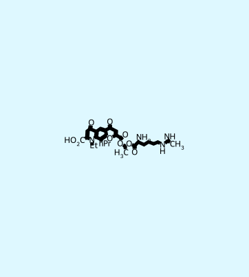 CCCc1c2oc(C(=O)OC(C)OC(=O)[C@@H](N)CCCCNC(C)=N)cc(=O)c2cc2c(=O)cc(C(=O)O)n(CC)c12